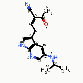 CC(=O)C(C#N)=CCc1c[nH]c2ncc(NC(C)C)cc12